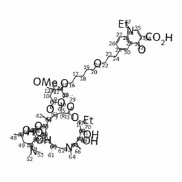 CC[C@H]1OC(=O)[C@H](C)[C@@H](O[C@H]2C[C@@](C)(OC)[C@@H](OCCCCCOCCCc3ccc4c(c3)c(=O)c(C(=O)O)cn4CC)[C@H](C)O2)[C@H](C)[C@@H](O[C@@H]2O[C@H](C)C[C@H](N(C)C)[C@H]2O)[C@](C)(O)C[C@@H](C)CN(C)[C@H](C)[C@@H](O)[C@]1(C)O